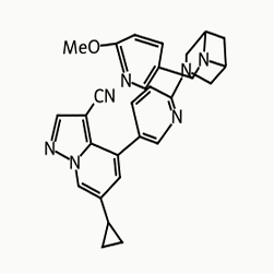 COc1ccc(CN2C3CC2CN(c2ccc(-c4cc(C5CC5)cn5ncc(C#N)c45)cn2)C3)cn1